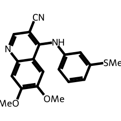 COc1cc2ncc(C#N)c(Nc3cccc(SC)c3)c2cc1OC